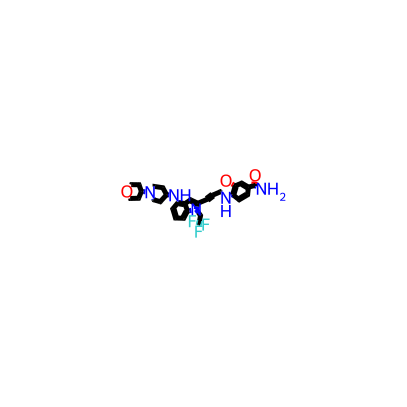 COc1cc(C(N)=O)ccc1NCC#Cc1cc2c(NC3CCN(C4CCOCC4)CC3)cccc2n1CC(F)(F)F